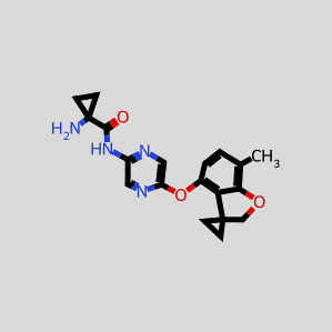 Cc1ccc(Oc2cnc(NC(=O)C3(N)CC3)cn2)c2c1OCC21CC1